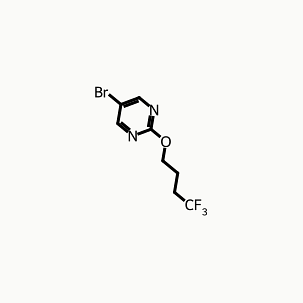 FC(F)(F)CCCOc1ncc(Br)cn1